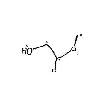 COC(C)CO